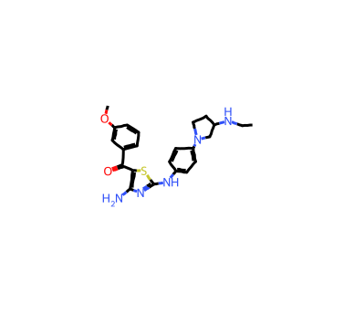 CCNC1CCN(c2ccc(Nc3nc(N)c(C(=O)c4cccc(OC)c4)s3)cc2)C1